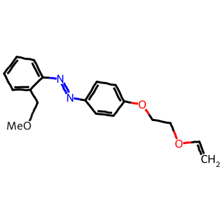 C=COCCOc1ccc(N=Nc2ccccc2COC)cc1